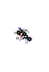 CCCc1[nH]c2ccccc2c1Cc1ccc2c(c1)COc1cc(F)ccc1/C2=C(/C)C#N